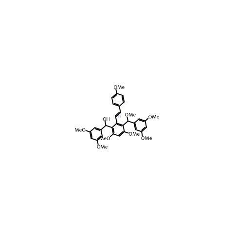 COc1ccc(/C=C/c2c(C(O)c3cc(OC)cc(OC)c3)c(OC)cc(OC)c2C(OC)c2cc(OC)cc(OC)c2)cc1